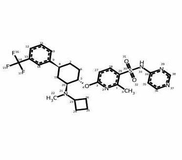 Cc1nc(O[C@H]2CC[C@H](c3cccc(C(F)(F)F)c3)C[C@@H]2N(C)C2CCC2)ccc1S(=O)(=O)Nc1ccncn1